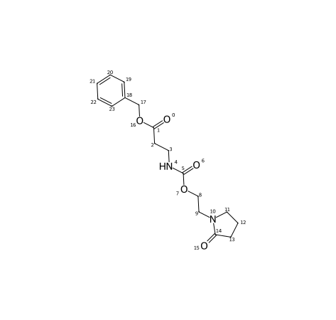 O=C(CCNC(=O)OCCN1CCCC1=O)OCc1ccccc1